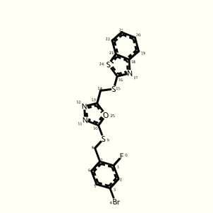 Fc1cc(Br)ccc1CSc1nnc(CSc2nc3ccccc3s2)o1